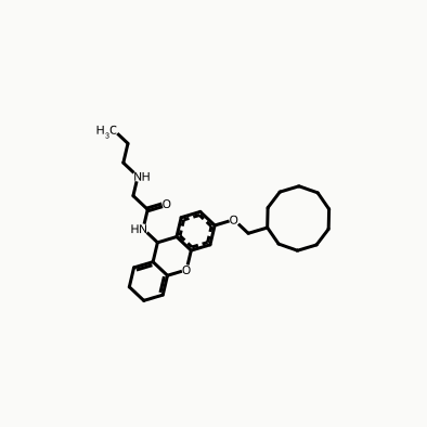 CCCNCC(=O)NC1C2=CCCC=C2Oc2cc(OCC3CCCCCCCCC3)ccc21